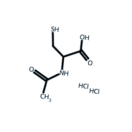 CC(=O)NC(CS)C(=O)O.Cl.Cl